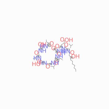 CCCCCCC[C@@H](O)CC(=O)N[C@@H](CC(C)C)C(=O)N[C@H](CCC(=O)O)C(=O)N[C@H]1C(=O)N[C@H]([C@H](C)CC)C(=O)N[C@H](CC(C)C)C(=O)N[C@H](CO)C(=O)N[C@@H](CC(C)C)C(=O)N[C@H](CO)C(=O)N[C@@H]([C@@H](C)CC)C(=O)O[C@@H]1C